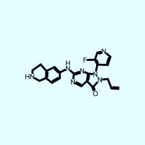 C=CCn1c(=O)c2cnc(Nc3ccc4c(c3)CCNC4)nc2n1-c1ccncc1F